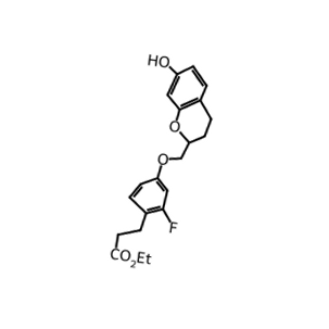 CCOC(=O)CCc1ccc(OCC2CCc3ccc(O)cc3O2)cc1F